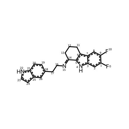 Fc1cc2[nH]c3c(c2cc1F)CCC/C3=N\CCc1ccc2[nH]ccc2c1